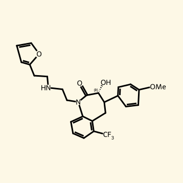 COc1ccc(C2Cc3c(cccc3C(F)(F)F)N(CCNCCc3ccco3)C(=O)[C@@H]2O)cc1